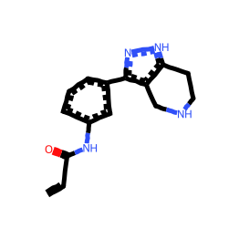 C=CC(=O)Nc1cccc(-c2n[nH]c3c2CNCC3)c1